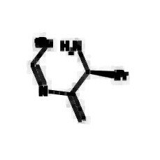 C=C(/N=C\C(C)(C)C)[C@@H](N)C(C)C